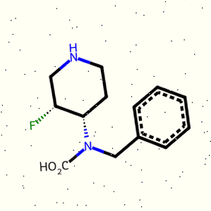 O=C(O)N(Cc1ccccc1)[C@H]1CCNC[C@H]1F